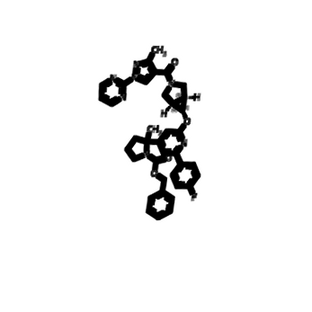 Cc1nn(-c2ncccn2)cc1C(=O)N1C[C@@H]2[C@H](C1)[C@@H]2Oc1cc(C2(C)CCCN2C(=O)OCc2ccccc2)cc(-c2ccc(F)cc2)n1